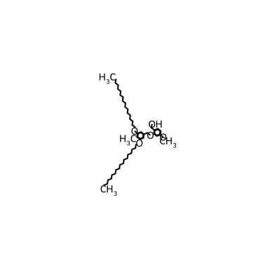 CCCCCCCCCCCCCCCCCCOc1cc(COc2cc(OC)ccc2CO)cc(OCCCCCCCCCCCCCCCCCC)c1C